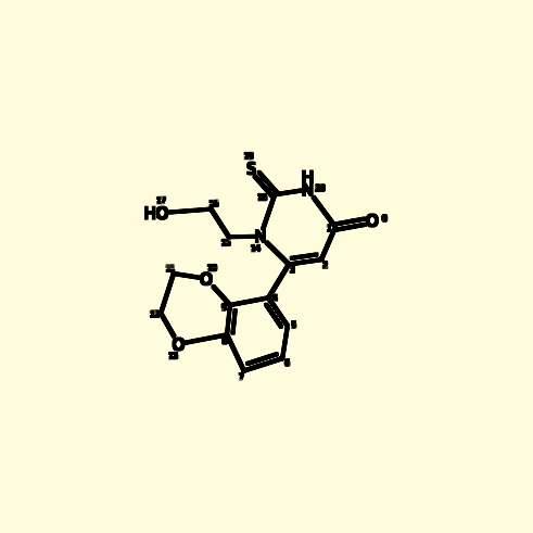 O=c1cc(-c2cccc3c2OCCO3)n(CCO)c(=S)[nH]1